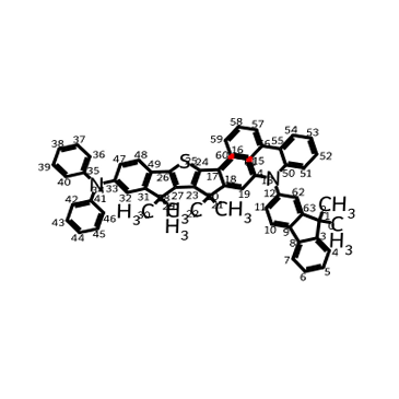 CC1(C)c2ccccc2-c2ccc(N(c3ccc4c(c3)C(C)(C)c3c-4sc4c3C(C)(C)c3cc(N(c5ccccc5)c5ccccc5)ccc3-4)c3ccccc3-c3ccccc3)cc21